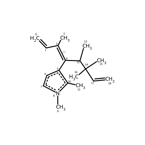 C=C/C(C)=C(\c1ccn(C)c1C)C(C)C(C)(C)C=C